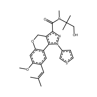 COc1cc2c(cc1C=C(C)C)-c1c(c(C(=O)N(C)C(C)(C)CO)nn1-c1ccsc1)CO2